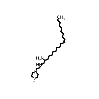 CCCCCCCC/C=C\CCCCCCCCC(N)CNCCN1CCNCC1